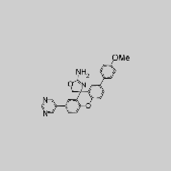 COc1ccc(-c2ccc3c(c2)[C@]2(COC(N)=N2)c2cc(-c4cncnc4)ccc2O3)cc1